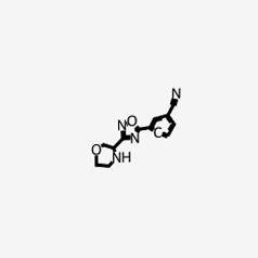 N#Cc1cccc(-c2nc(C3COCCN3)no2)c1